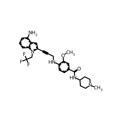 COc1cc(C(=O)NC2CCN(C)CC2)ccc1NCC#Cc1cc2c(N)cccc2n1CC(F)(F)F